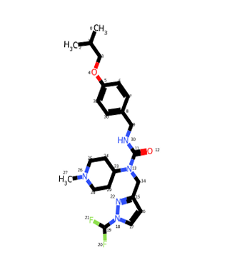 CC(C)COc1ccc(CNC(=O)N(Cc2ccn(C(F)F)n2)C2CCN(C)CC2)cc1